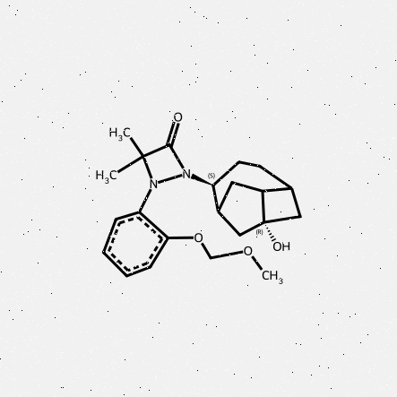 COCOc1ccccc1N1N([C@H]2CCC3C[C@@]4(O)CC2CC34)C(=O)C1(C)C